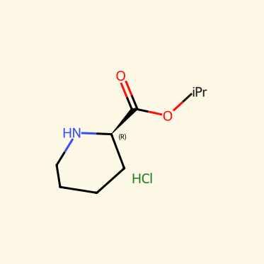 CC(C)OC(=O)[C@H]1CCCCN1.Cl